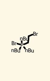 CCCCP(Br)(CCBr)(CCCC)CCCC